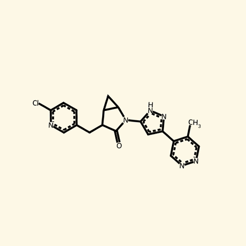 Cc1cnncc1-c1cc(N2C(=O)C(Cc3ccc(Cl)nc3)C3CC32)[nH]n1